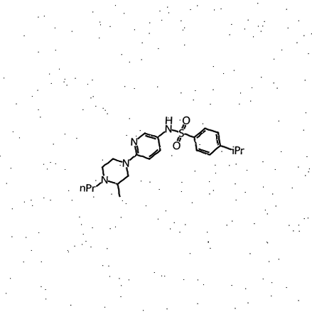 CCCN1CCN(c2ccc(NS(=O)(=O)c3ccc(C(C)C)cc3)cn2)CC1C